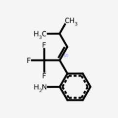 CC(C)/C=C(/c1ccccc1N)C(F)(F)F